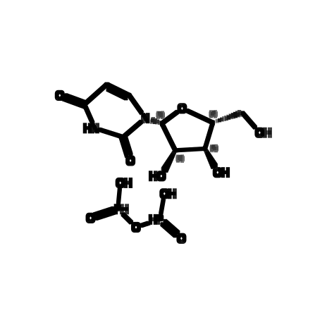 O=[PH](O)O[PH](=O)O.O=c1ccn([C@@H]2O[C@H](CO)[C@@H](O)[C@H]2O)c(=O)[nH]1